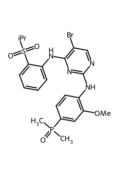 COc1cc(P(C)(C)=O)ccc1Nc1ncc(Br)c(Nc2ccccc2S(=O)(=O)C(C)C)n1